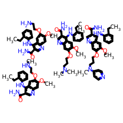 CCc1ccccc1Nc1c(C(N)=O)cnc2cc(OC)c(OCCN)cc12.CCc1ccccc1Nc1c(C(N)=O)cnc2cc(OC)c(OCCNC)cc12.CCc1ccccc1Nc1c(C(N)=O)cnc2cc(OCCCN(C)C)c(OC)cc12.CCc1ccccc1Nc1c(C(N)=O)cnc2cc(OCCCN(C)c3ccncc3)c(OC)cc12